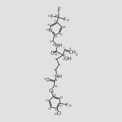 C=CC(O)(CCCNC(=O)COc1ccc(Cl)c(F)c1)C(=O)NCc1ccc(C(F)(F)F)cn1